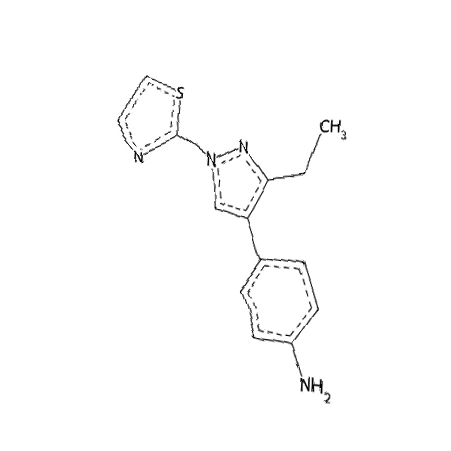 CCc1nn(-c2nccs2)cc1-c1ccc(N)cc1